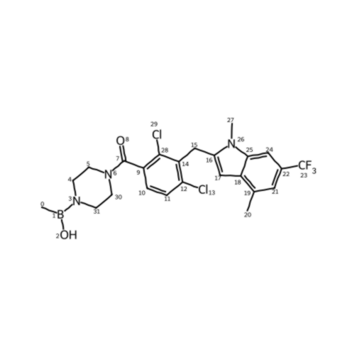 CB(O)N1CCN(C(=O)c2ccc(Cl)c(Cc3cc4c(C)cc(C(F)(F)F)cc4n3C)c2Cl)CC1